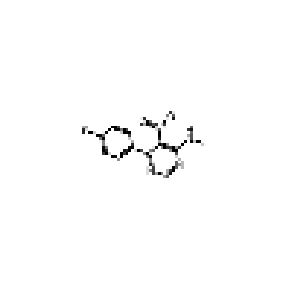 CNc1ncnc(-c2ccc(F)cc2)c1[N+](=O)[O-]